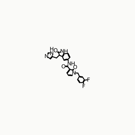 O=C(Nc1ccc2c(c1)C(Cc1cnc[nH]1)C(=O)N2)c1cccn(Cc2ccc(F)c(F)c2)c1=O